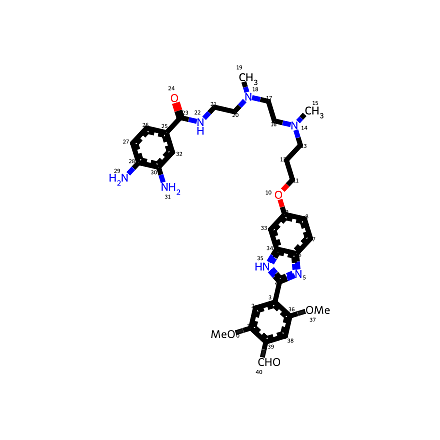 COc1cc(-c2nc3ccc(OCCCN(C)CCN(C)CCNC(=O)c4ccc(N)c(N)c4)cc3[nH]2)c(OC)cc1C=O